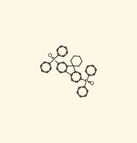 O=P(c1ccccc1)(c1ccccc1)c1ccc2c(c1)C1(CCCCC1)c1cc(P(=O)(c3ccccc3)c3ccccc3)ccc1-2